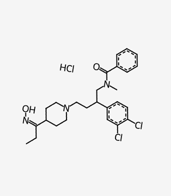 CC/C(=N/O)C1CCN(CCC(CN(C)C(=O)c2ccccc2)c2ccc(Cl)c(Cl)c2)CC1.Cl